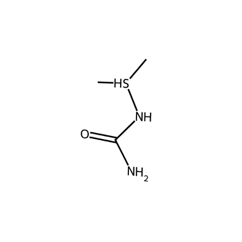 C[SH](C)NC(N)=O